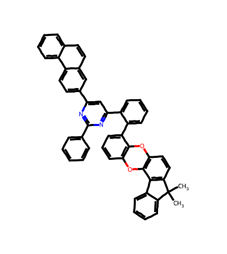 CC1(C)c2ccccc2-c2c1ccc1c2Oc2cccc(-c3ccccc3-c3cc(-c4ccc5c(ccc6ccccc65)c4)nc(-c4ccccc4)n3)c2O1